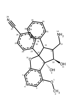 COc1cncc2c1[C@]1(O)[C@H](O)C(CN)C(c3ccccc3)C1(c1ccc(C#N)cc1)O2